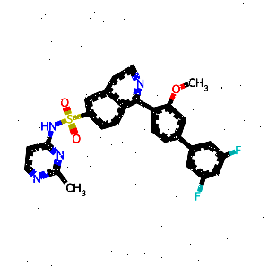 COc1cc(-c2cc(F)cc(F)c2)ccc1-c1nccc2cc(S(=O)(=O)Nc3ccnc(C)n3)ccc12